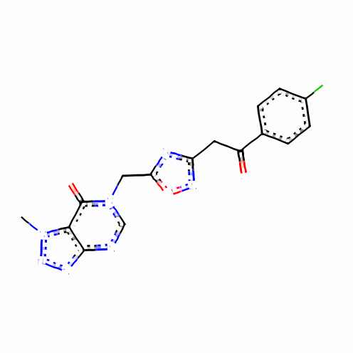 Cn1nnc2ncn(Cc3nc(CC(=O)c4ccc(Cl)cc4)no3)c(=O)c21